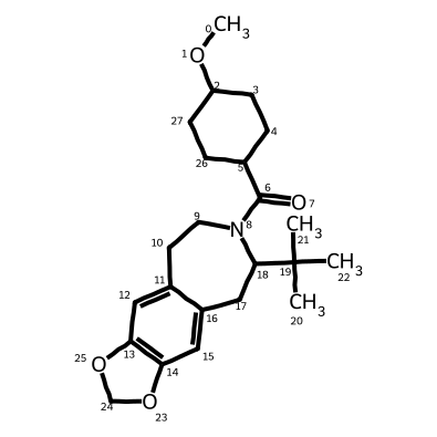 COC1CCC(C(=O)N2CCc3cc4c(cc3CC2C(C)(C)C)OCO4)CC1